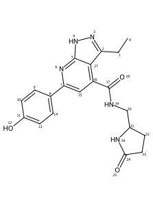 CCc1n[nH]c2nc(-c3ccc(O)cc3)cc(C(=O)NCC3CCC(=O)N3)c12